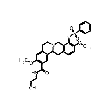 COc1cc2c(cc1C(=O)NCCO)C1Cc3ccc(OC)c(OS(=O)(=O)c4ccccc4)c3CN1CC2